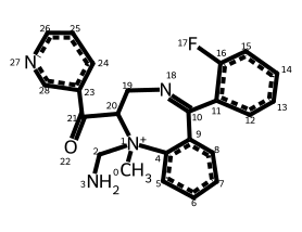 C[N+]1(CN)c2ccccc2C(c2ccccc2F)=NCC1C(=O)c1cccnc1